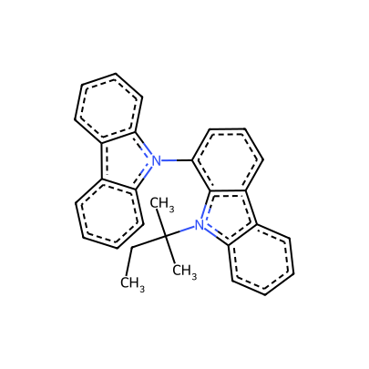 CCC(C)(C)n1c2ccccc2c2cccc(-n3c4ccccc4c4ccccc43)c21